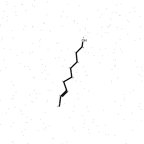 CC=CCCCCCCO